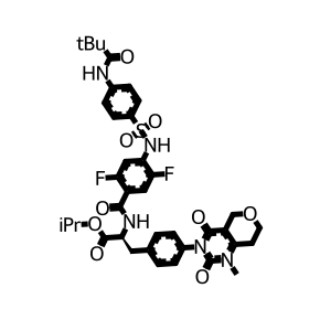 CC(C)OC(=O)[C@H](Cc1ccc(-n2c(=O)c3c(n(C)c2=O)CCOC3)cc1)NC(=O)c1cc(F)c(NS(=O)(=O)c2ccc(NC(=O)C(C)(C)C)cc2)cc1F